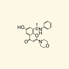 C[C@@H](Nc1ccccc1)c1cc(O)cc2c(=O)cc(N3CCOCC3)oc12